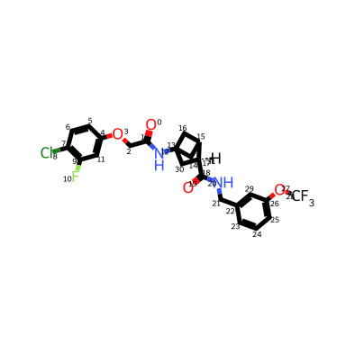 O=C(COc1ccc(Cl)c(F)c1)NC12CC(C1)[C@@H](C(=O)NCc1cccc(OC(F)(F)F)c1)C2